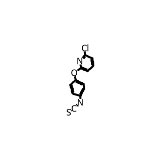 S=C=Nc1ccc(Oc2cccc(Cl)n2)cc1